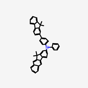 CC1(C)c2ccccc2-c2ccc(-c3ccc(N(c4ccccc4)c4ccc5c(c4)C(C)(C)c4cc6ccccc6cc4-5)cc3)cc21